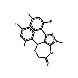 Cn1nc(-c2ccc(F)cc2F)c2c1NC(=O)CSC2c1ccc(Cl)cc1Cl